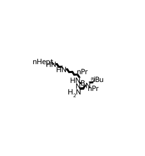 CCCCCCCNCCCNCCCCC(CCC)CNc1bc(N(CCC)CC[C@H](C)CC)cc(N)n1